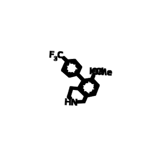 COc1ccc2c(c1-c1ccc(C(F)(F)F)cc1)CCNC2.Cl